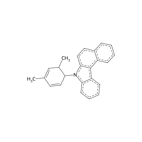 CC1=CC(C)C(n2c3ccccc3c3c4ccccc4ccc32)C=C1